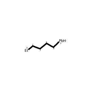 CCCCC[CH2][PbH]